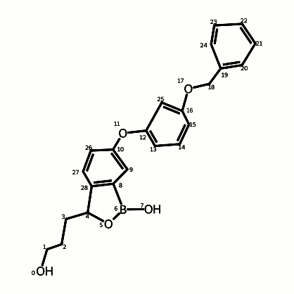 OCCCC1OB(O)c2cc(Oc3cccc(OCc4ccccc4)c3)ccc21